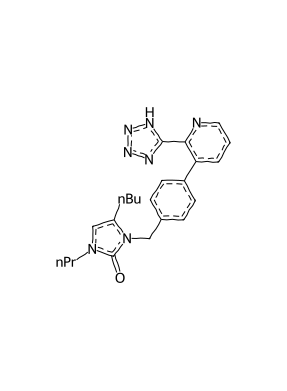 CCCCc1cn(CCC)c(=O)n1Cc1ccc(-c2cccnc2-c2nnn[nH]2)cc1